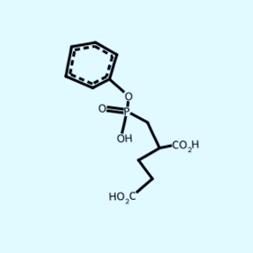 O=C(O)CCC(CP(=O)(O)Oc1ccccc1)C(=O)O